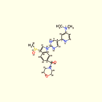 CN(C)c1ccnc(-c2cnc(-n3cc([S+](C)[O-])c4ccc(C(=O)N5CCOCC5)cc43)nc2)c1